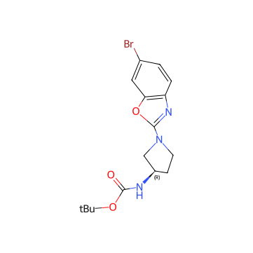 CC(C)(C)OC(=O)N[C@@H]1CCN(c2nc3ccc(Br)cc3o2)C1